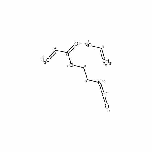 C=CC#N.C=CC(=O)OCCN=C=O